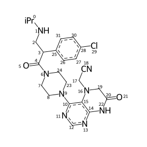 CC(C)NCC(C(=O)N1CCN(c2ncnc3c2N(CC#N)CC(=O)N3)CC1)c1ccc(Cl)cc1